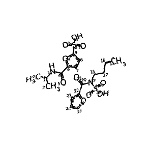 CC(C)NC(=O)c1ccc(S(=O)(=O)O)o1.CCCCN(C(=O)c1ccco1)S(=O)(=O)O